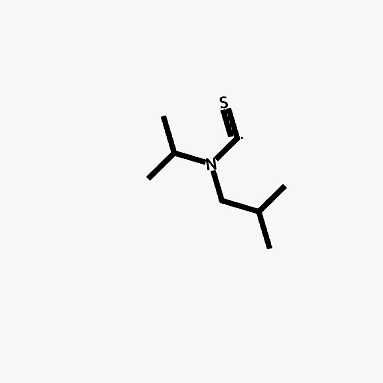 CC(C)CN([C]=S)C(C)C